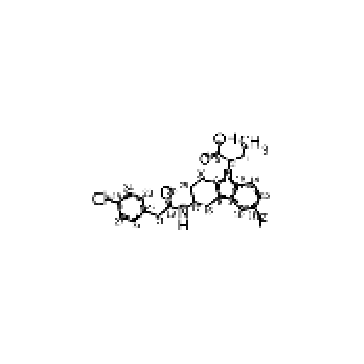 CCC(C(=O)O)n1c2c(c3cc(F)ccc31)CC(NC(=O)Cc1ccc(Cl)cc1)CC2